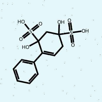 O=S(=O)(O)C1(O)CC=C(c2ccccc2)C(O)(S(=O)(=O)O)C1